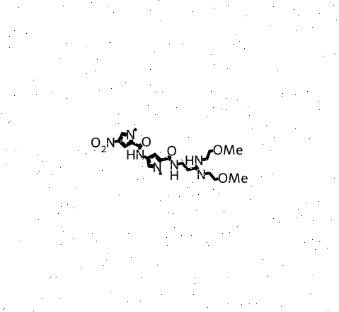 COCC/N=C(/CCNC(=O)c1cc(NC(=O)c2cc([N+](=O)[O-])cn2C)cn1C)NCCOC